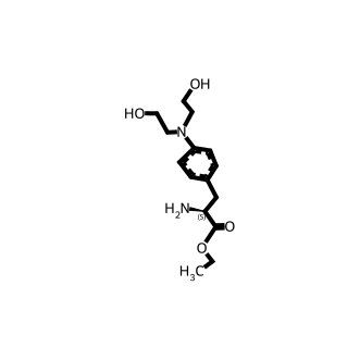 CCOC(=O)[C@@H](N)Cc1ccc(N(CCO)CCO)cc1